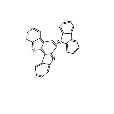 c1ccc2c(c1)N=c1ccc3c(c1-2)N=c1ccccc1=3.c1ccc2c(c1)[se]c1ccccc12